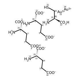 N[C@@H](CCC(=O)[O-])C(=O)[O-].N[C@@H](CCC(=O)[O-])C(=O)[O-].N[C@@H](CCC(=O)[O-])C(=O)[O-].N[C@@H](CS)C(=O)O.[Au+3].[Au+3]